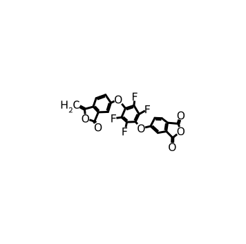 C=C1OC(=O)c2cc(Oc3c(F)c(F)c(Oc4ccc5c(c4)C(=O)OC5=O)c(F)c3F)ccc21